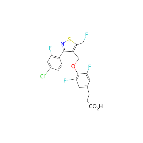 O=C(O)CCc1cc(F)c(OCc2c(-c3ccc(Cl)cc3F)nsc2CF)c(F)c1